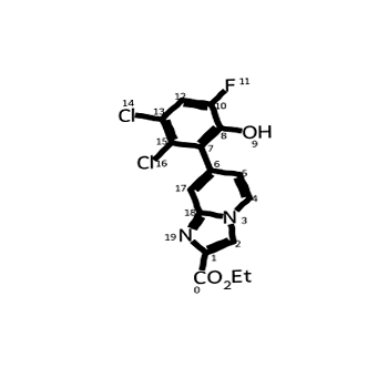 CCOC(=O)c1cn2ccc(-c3c(O)c(F)cc(Cl)c3Cl)cc2n1